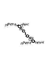 CCCCCc1cc(CCCCC)c2oc(-c3ccc(/C=C/c4ccc(-c5nc6cc(CCCCC)cc(CCCCC)c6o5)cc4)cc3)nc2c1